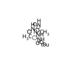 Cc1cccc(Nc2nc(N[C@@H]3CCCC[C@@H]3NC(=O)OC(C)(C)C)c(C)c3c2C(=O)NC3)c1